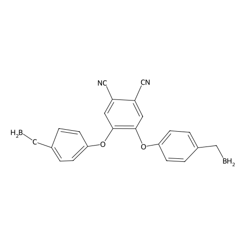 BCc1ccc(Oc2cc(C#N)c(C#N)cc2Oc2ccc(CB)cc2)cc1